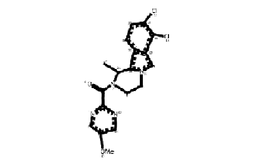 COc1cnc(C(=O)N2CCn3cc4c(Cl)c(Cl)ccc4c3C2C)nc1